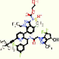 CSC(C)(C)C#Cc1ccc(-c2ccc(Cl)c3c(N(C(=O)OCCO)[S+](C)[O-])nn(CC(F)(F)F)c23)c(C(Cc2cc(F)cc(F)c2)NC(=O)Cn2nc(C(F)(F)F)c3c2C(F)(F)C[C@@H]3C)n1